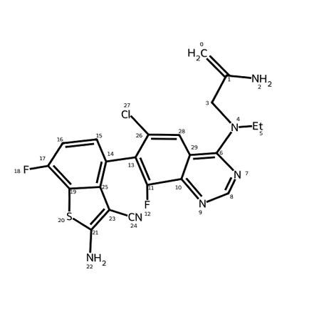 C=C(N)CN(CC)c1ncnc2c(F)c(-c3ccc(F)c4sc(N)c(C#N)c34)c(Cl)cc12